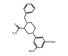 COc1cc(OC)cc(N2CCN(Cc3ccccc3)C(C(N)=O)C2)c1